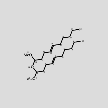 COC(CCC=CCCCCI)OC(CCC=CCCCCI)OC